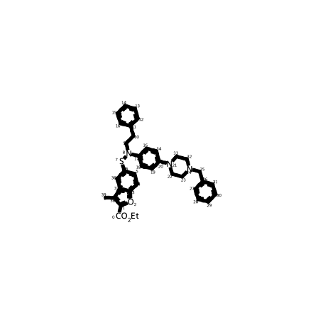 CCOC(=O)c1oc2ccc(SN(CCc3ccccc3)c3ccc(N4CCN(Cc5ccccc5)CC4)cc3)cc2c1C